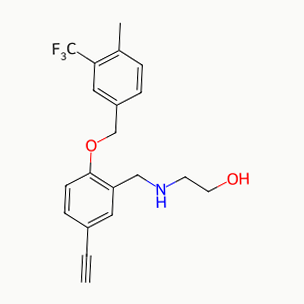 C#Cc1ccc(OCc2ccc(C)c(C(F)(F)F)c2)c(CNCCO)c1